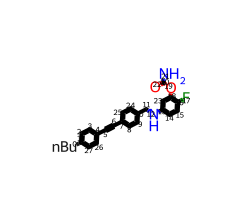 CCCCc1ccc(C#Cc2ccc(CNc3ccc(F)c(OC(N)=O)c3)cc2)cc1